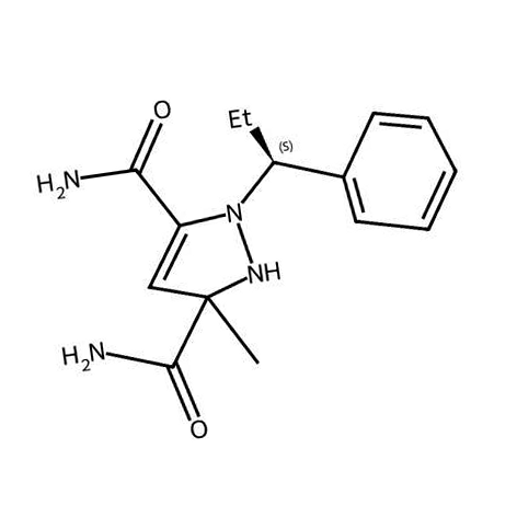 CC[C@@H](c1ccccc1)N1NC(C)(C(N)=O)C=C1C(N)=O